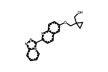 OCC1(COc2ccc3nc(-c4nnc5ccccn45)ccc3c2)CC1